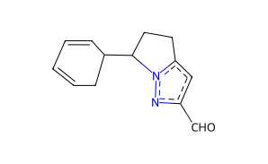 O=Cc1cc2n(n1)C(C1C=CC=CC1)CC2